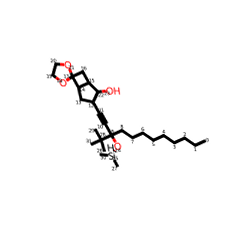 CCCCCCCCCC(C#CC1CC2C(CC23OCCO3)C1O)(O[SiH](C)C)C(C)(C)C